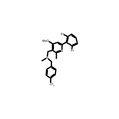 CCc1cccc(CC)c1-c1cc(OC)c(CN(C)Cc2ccc(C(F)(F)F)cc2)c(C)n1